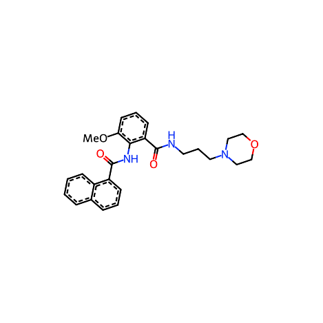 COc1cccc(C(=O)NCCCN2CCOCC2)c1NC(=O)c1cccc2ccccc12